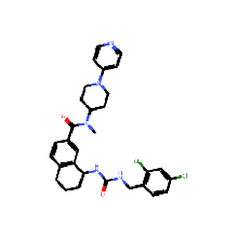 CN(C(=O)c1ccc2c(c1)C(NC(=O)NCc1ccc(Cl)cc1Cl)CCC2)C1CCN(c2ccncc2)CC1